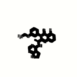 C[C@H](Nc1ncnc2[nH]ccc12)c1nc2cccc(F)c2c(=O)n1-c1cccc(OCC(F)(F)F)c1